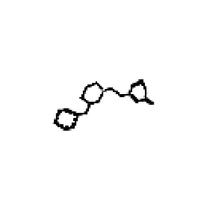 S=C1C=C(CCN2CCCC(Cc3ccccc3)C2)C=CC1